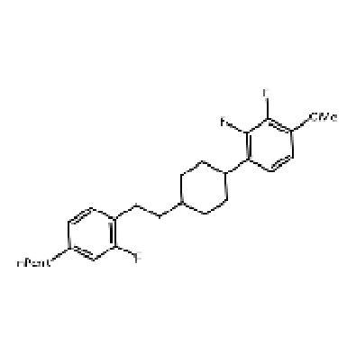 CCCCCc1ccc(CCC2CCC(c3ccc(OC)c(F)c3F)CC2)c(F)c1